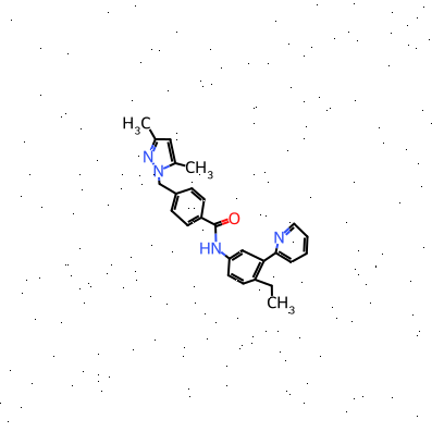 CCc1ccc(NC(=O)c2ccc(Cn3nc(C)cc3C)cc2)cc1-c1ccccn1